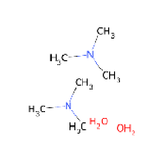 CN(C)C.CN(C)C.O.O